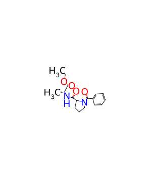 CCOC(=O)[C@H](C)NC(=O)[C@@H]1CCCN1C(=O)c1ccccc1